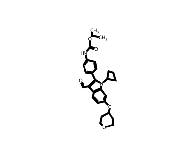 CC(C)OC(=O)Nc1ccc(-c2c(C=O)c3ccc(OC4CCOCC4)cc3n2C2CCC2)cc1